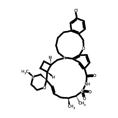 C[C@@H]1[C@@H](C)C/C=C/[C@@]2(CN(C)CCO2)[C@@H]2CC[C@H]2CN2CCCCc3cc(Cl)ccc3COc3ccc(cc32)C(=O)NS1(=O)=O